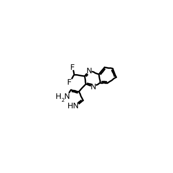 N=C/C(=C\N)c1nc2ccccc2nc1C(F)F